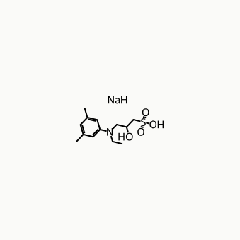 CCN(CC(O)CS(=O)(=O)O)c1cc(C)cc(C)c1.[NaH]